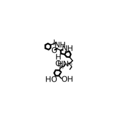 CC[C@H](Cc1ccc2[nH]c(C(=O)N[C@H](C)c3ccccc3)cc2c1)NC[C@H](O)c1ccc(O)c(CO)c1